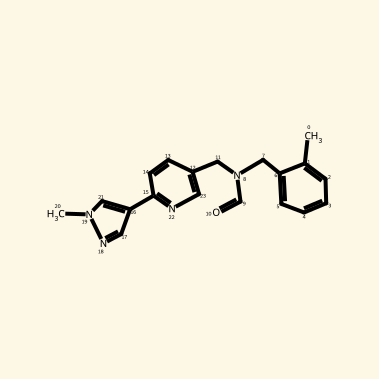 Cc1ccccc1CN(C=O)Cc1ccc(-c2cnn(C)c2)nc1